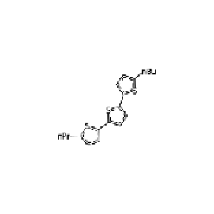 CCCCc1ccc(-c2ccc(-c3ccc(CCC)s3)s2)s1